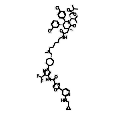 CC(C)[C@@H](CS(=O)(=O)C(C)C)N1C(=O)[C@@](C)(CC(=O)NCCCCCN(C)C[C@H]2CC[C@H](n3cc(NC(=O)c4coc(-c5ccnc(NCC6CC6)c5)n4)c(C(F)F)n3)CC2)C[C@H](c2cccc(Cl)c2)[C@H]1c1ccc(Cl)cc1